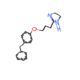 c1ccc(Cc2ccc(OCCCC3=NCCN3)cc2)cc1